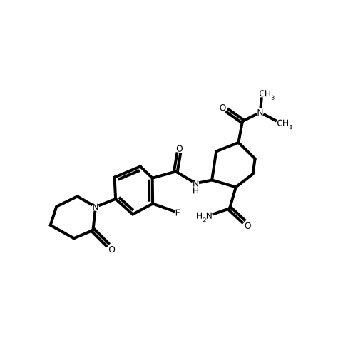 CN(C)C(=O)C1CCC(C(N)=O)C(NC(=O)c2ccc(N3CCCCC3=O)cc2F)C1